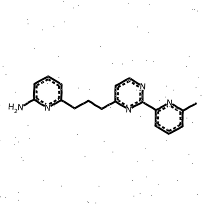 Cc1cccc(-c2nccc(CCCc3cccc(N)n3)n2)n1